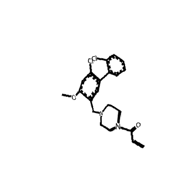 C=CC(=O)N1CCN(Cc2cc(-c3ccccc3Cl)c(Cl)cc2OC)CC1